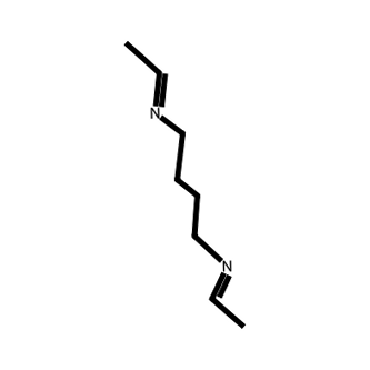 CC=NCCCCN=CC